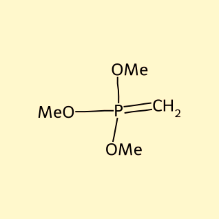 C=P(OC)(OC)OC